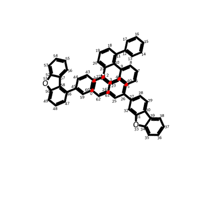 c1ccc(-c2ccccc2-c2c(-c3ccccc3)cccc2N(c2ccc(-c3ccc4c(c3)oc3ccccc34)cc2)c2ccc(-c3cccc4oc5ccccc5c34)cc2)cc1